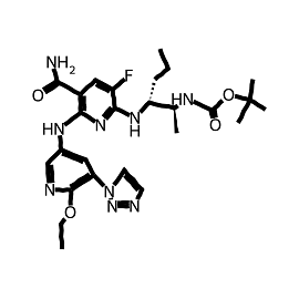 CCC[C@@H](Nc1nc(Nc2cnc(OCC)c(-n3ccnn3)c2)c(C(N)=O)cc1F)[C@H](C)NC(=O)OC(C)(C)C